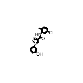 Cc1ccc(Cl)cc1NC(=O)c1cn(-c2cccc(O)c2)nn1